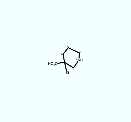 CCC1(C(=O)O)CCCNC1